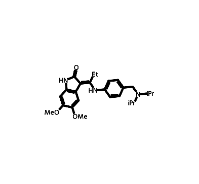 CCC(Nc1ccc(CN(C(C)C)C(C)C)cc1)=C1C(=O)Nc2cc(OC)c(OC)cc21